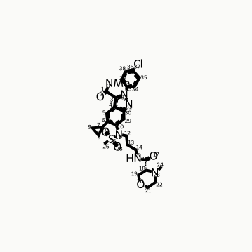 CNC(=O)c1c2cc(C3CC3)c(N(CCCNC(=O)[C@H]3COCCN3C)S(C)(=O)=O)cc2nn1-c1ccc(Cl)cc1